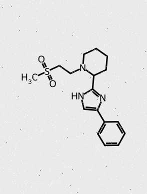 CS(=O)(=O)CCN1CCCCC1c1nc(-c2ccccc2)c[nH]1